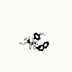 C[C@H](NP(=O)(Oc1ccc([N+](=O)[O-])cc1)Oc1ccc2ccccc2c1)C(=O)O